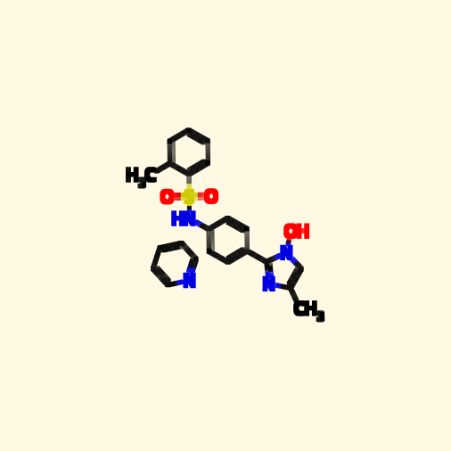 Cc1cn(O)c(-c2ccc(NS(=O)(=O)c3ccccc3C)cc2)n1.c1ccncc1